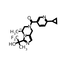 C[C@H]1CN(C(=O)c2ccc(C3CC3)nc2)Cc2cnc(C(C)(O)C(F)(F)F)n21